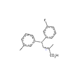 C/C(=C\C(c1cccc(C)c1)c1cccc(F)c1)C(=O)O